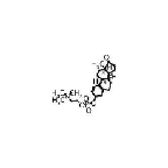 C[C@]12CC[C@@H]3c4ccc(OP(=O)([O-])OCC[N+](C)(C)C)cc4CC[C@H]3[C@@H]1CCC2=O